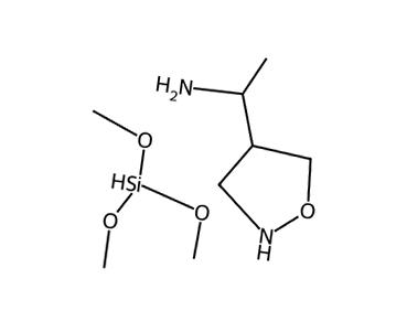 CC(N)C1CNOC1.CO[SiH](OC)OC